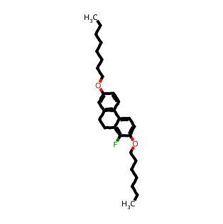 CCCCCCCCOc1ccc2c(c1)CCc1c-2ccc(OCCCCCCC)c1F